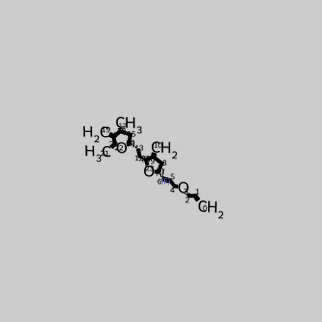 C=CCOC/C=C/[C@H]1CC(=C)[C@H](CC[C@H]2C[C@@H](C)C(=C)C(C)O2)O1